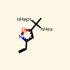 C=Cc1cc(C(C)(CCCCCC)CCCCCCC)on1